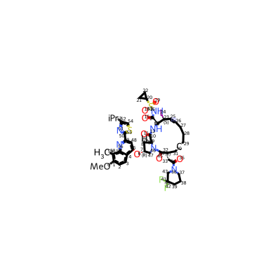 COc1ccc2c(O[C@@H]3C[C@H]4C(=O)N[C@@H](C(=O)NS(=O)(=O)C5CC5)[C@@H](I)/C=C\CCCCC[C@H](CC(=O)N5CCCC(F)(F)C5)C(=O)N4C3)cc(-c3nc(C(C)C)cs3)nc2c1C